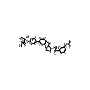 O=C(N[C@@H]1CCn2c1nc1ccc(-c3cnc(N4C[C@@H]5C[C@H]4CO5)nc3)cc12)c1cccc(OC(F)F)c1